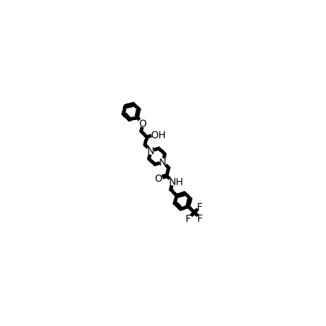 O=C(CN1CCN(CC(O)COc2ccccc2)CC1)NCc1ccc(C(F)(F)F)cc1